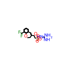 N=C(N)NOS(=O)(=O)CC(=O)C1=Cc2cccc(C(F)F)c2OCC1